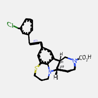 O=C(O)N1CC[C@H]2[C@@H](C1)c1cc(/C=C/c3cccc(Cl)c3)cc3c1N2CCCS3